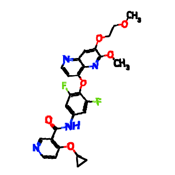 COCCOc1cc2nccc(Oc3c(F)cc(NC(=O)c4cnccc4OC4CC4)cc3F)c2nc1OC